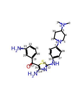 CN(C)C1CCN(c2ccc(Nc3nc(N)c(C(=O)c4cccc(N)c4)s3)cc2)CC1